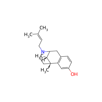 CC(C)=CCN1CC[C@@]2(C)c3cc(O)ccc3CC1[C@H]2C